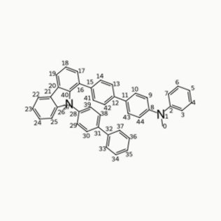 CN(c1ccccc1)c1ccc(-c2ccc(-c3cccc4c5ccccc5n(-c5ccc(-c6ccccc6)cc5)c34)cc2)cc1